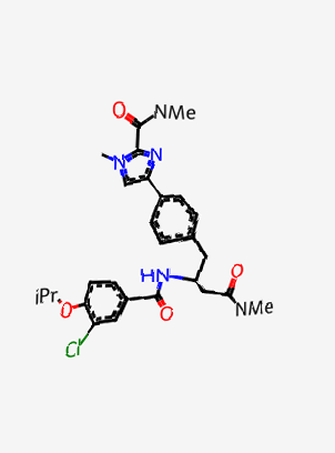 CNC(=O)C[C@H](Cc1ccc(-c2cn(C)c(C(=O)NC)n2)cc1)NC(=O)c1ccc(OC(C)C)c(Cl)c1